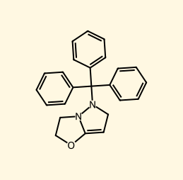 C1=C2OCCN2N(C(c2ccccc2)(c2ccccc2)c2ccccc2)C1